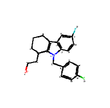 OCCC1CCCc2c1n(Cc1ccc(Cl)cc1)c1ccc(F)cc21